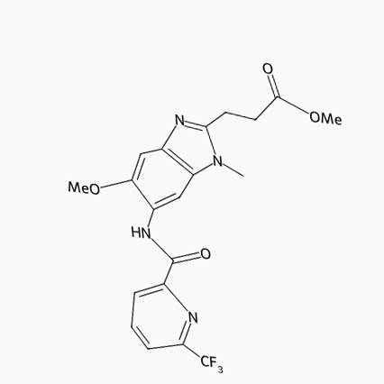 COC(=O)CCc1nc2cc(OC)c(NC(=O)c3cccc(C(F)(F)F)n3)cc2n1C